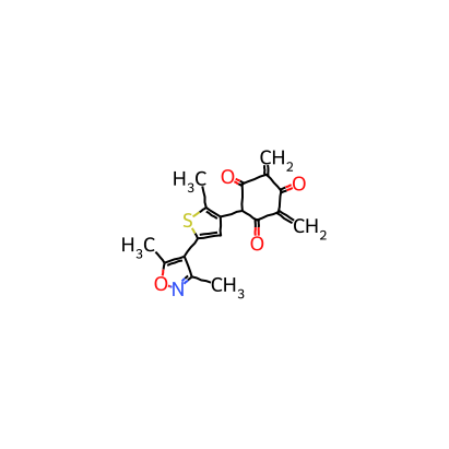 C=C1C(=O)C(=C)C(=O)C(c2cc(-c3c(C)noc3C)sc2C)C1=O